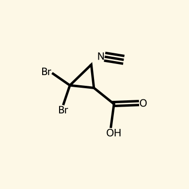 C#N.O=C(O)C1CC1(Br)Br